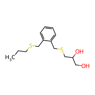 CCCSCc1ccccc1CSCC(O)CO